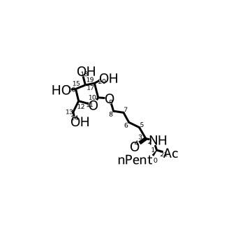 CCCCC[C@@H](NC(=O)CCCCOC1OC(CO)C(O)C(O)C1O)C(C)=O